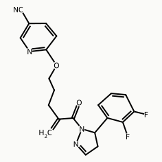 C=C(CCCOc1ccc(C#N)cn1)C(=O)N1N=CCC1c1cccc(F)c1F